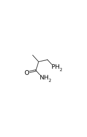 CC(CP)C(N)=O